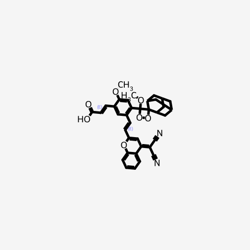 COc1cc(C2(OC)OOC23C2CC4CC(C2)CC3C4)c(/C=C/C2=CC(=C(C#N)C#N)c3ccccc3O2)cc1/C=C/C(=O)O